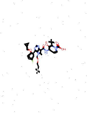 Cc1c(C(=O)N[C@@H]2CCN(C(=O)O)C(C(C)(C)C)[C@@H]2O)c2ncnc(-c3cc(F)ccc3OCC3CC3)c2n1COCC[Si](C)(C)C